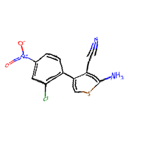 N#Cc1c(-c2ccc([N+](=O)[O-])cc2Cl)csc1N